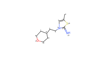 Cc1cn(CCC2CCOCC2)c(=N)s1